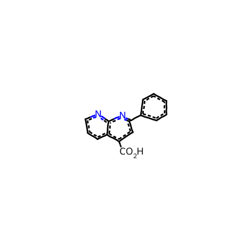 O=C(O)c1cc(-c2ccccc2)nc2ncccc12